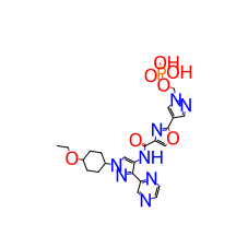 CCOC1CCC(n2cc(NC(=O)c3coc(-c4cnn(COP(=O)(O)O)c4)n3)c(-c3cnccn3)n2)CC1